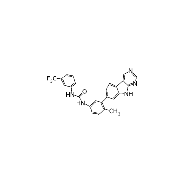 Cc1ccc(NC(=O)Nc2cccc(C(F)(F)F)c2)cc1-c1ccc2c(c1)[nH]c1ncncc12